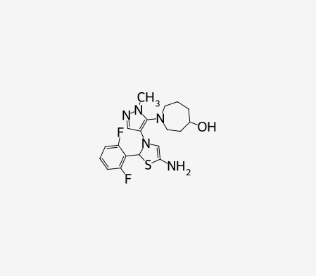 Cn1ncc(N2C=C(N)SC2c2c(F)cccc2F)c1N1CCCC(O)CC1